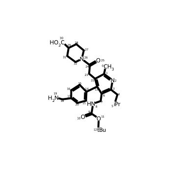 Cc1nc(CC(C)C)c(CNC(=O)OC(C)(C)C)c(-c2ccc(CN)cc2)c1CC(=O)N1CCC(C(=O)O)CC1